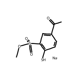 COS(=O)(=O)c1cc(C(C)=O)ccc1S.[Na]